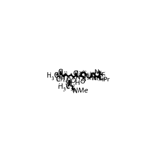 CNCCN(C)C(=O)OC(CC/C=C/C(=O)N(C)C)C(=O)Nc1cccn(Cc2cc3ncc(F)c(CC(C)C)c3[nH]2)c1=O